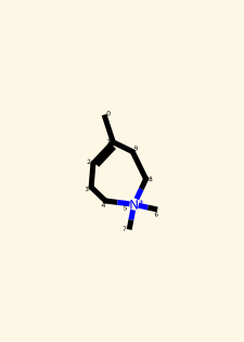 CC1=CCC[N+](C)(C)CC1